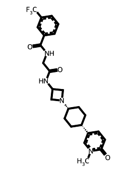 Cn1cc([C@H]2CC[C@@H](N3CC(NC(=O)CNC(=O)c4cccc(C(F)(F)F)c4)C3)CC2)ccc1=O